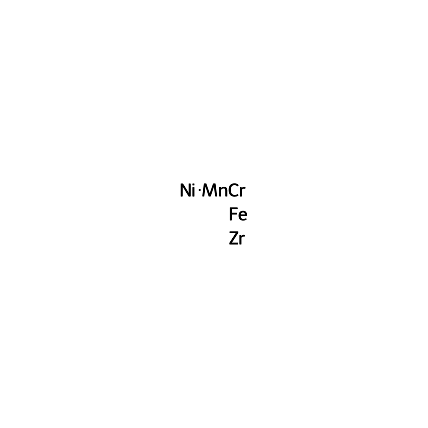 [Cr].[Fe].[Mn].[Ni].[Zr]